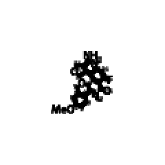 COc1ccc2c(c1)COC[C@H]2N(C)C(=O)c1cc2c3c(c(N)nc2cc1F)COC3